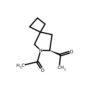 CC(=O)[C@@H]1CC2(CCC2)CN1C(C)=O